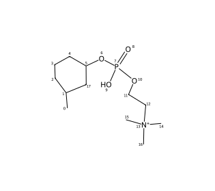 CC1CCCC(OP(=O)(O)OCC[N+](C)(C)C)C1